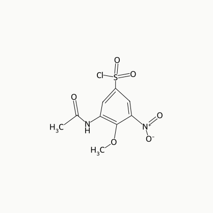 COc1c(NC(C)=O)cc(S(=O)(=O)Cl)cc1[N+](=O)[O-]